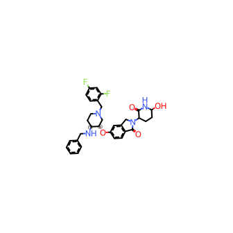 O=C1NC(O)CCC1N1Cc2cc(O[C@H]3CN(Cc4ccc(F)cc4F)CC[C@@H]3NCc3ccccc3)ccc2C1=O